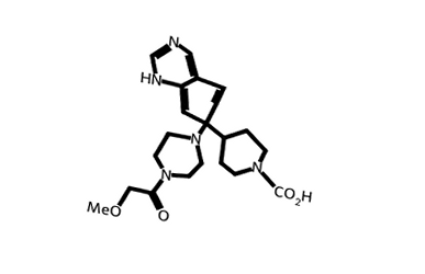 COCC(=O)N1CCN(C2(C3CCN(C(=O)O)CC3)C=CC3=CN=CNC3=C2)CC1